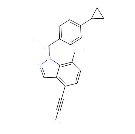 CC#Cc1ccc(C(=O)O)c2c1cnn2[C@H](C)c1ccc(C2CC2)cc1